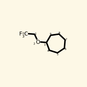 FC(F)(F)COC1CCCCCC1